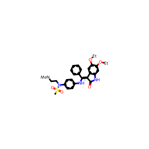 CCOc1cc2c(cc1OCC)/C(=C(/Nc1ccc(N(CCNC)S(C)(=O)=O)cc1)c1ccccc1)C(=O)N2